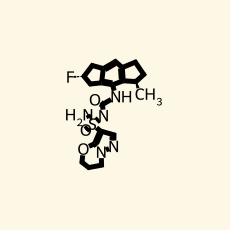 C[C@@H]1CCc2cc3c(c(NC(=O)N=S(N)(=O)c4cnn5c4OCCC5)c21)C[C@H](F)C3